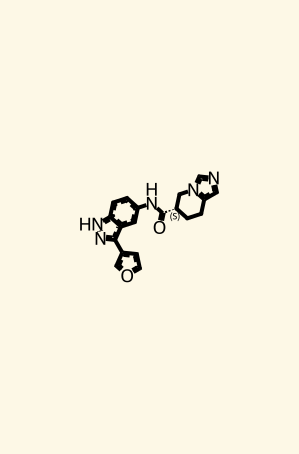 O=C(Nc1ccc2[nH]nc(-c3ccoc3)c2c1)[C@H]1CCc2cncn2C1